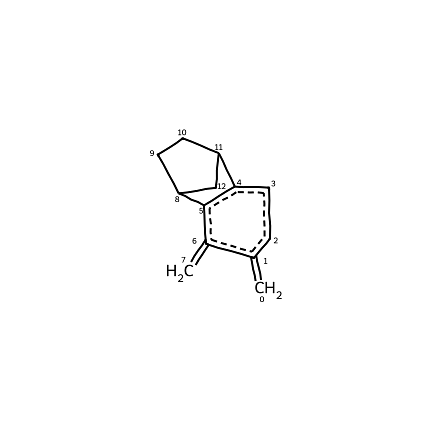 C=c1ccc2c(c1=C)C1CCC2C1